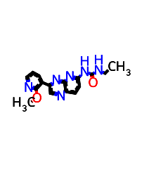 CCNC(=O)Nc1ccc2ncc(-c3cccnc3OC)nc2n1